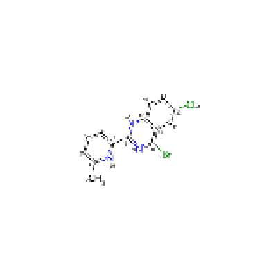 Cc1cccc(-c2nc(Br)c3cc(Cl)ccc3n2)n1